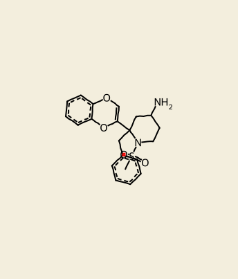 CS(=O)(=O)N1CCC(N)CC1(Cc1ccccc1)C1=COc2ccccc2O1